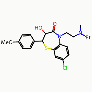 CCN(C)CCN1C(=O)C(O)C(c2ccc(OC)cc2)Sc2cc(Cl)ccc21